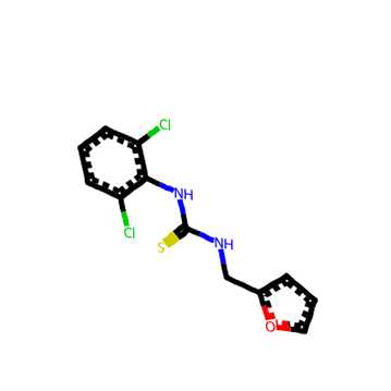 S=C(NCc1ccco1)Nc1c(Cl)cccc1Cl